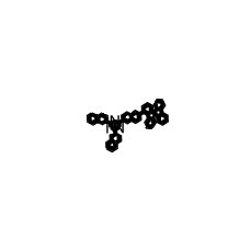 c1ccc2c(c1)-c1ccccc1C21c2ccccc2-c2c(-c3ccc4cc(-c5nc(-c6ccc7ccccc7c6)nc(-c6ccc7ccccc7c6)n5)ccc4c3)cccc21